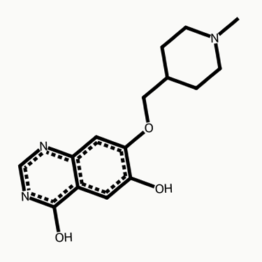 CN1CCC(COc2cc3ncnc(O)c3cc2O)CC1